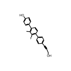 Cc1c(-c2ccc(O)cc2)ccc(-c2ccc(C#CCO)cc2)c1F